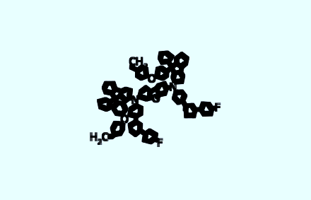 C=Cc1ccc(Oc2ccc(C3(c4ccccc4)c4ccccc4-c4ccc(N(c5ccc(-c6cccc(-c7ccc(F)cc7)c6)cc5)c5ccc6c(c5)oc5cc(N(c7ccc(-c8cccc(-c9ccc(F)cc9)c8)cc7)c7ccc8c(c7)C(c7ccccc7)(c7ccc(Oc9ccc(C=C)cc9)cc7)c7ccccc7-8)ccc56)cc43)cc2)cc1